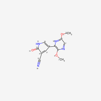 COc1cnc(OC)c(-c2c[nH]c(=O)c(C#N)c2)n1